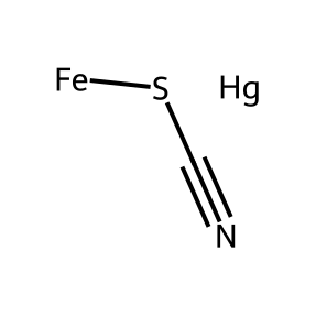 N#C[S][Fe].[Hg]